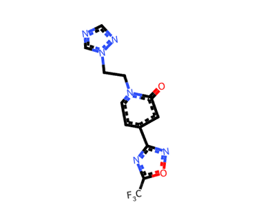 O=c1cc(-c2noc(C(F)(F)F)n2)ccn1CCn1cncn1